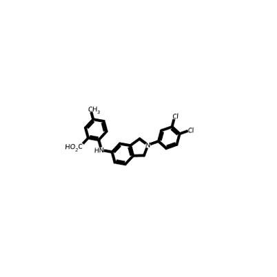 Cc1ccc(Nc2ccc3c(c2)CN(c2ccc(Cl)c(Cl)c2)C3)c(C(=O)O)c1